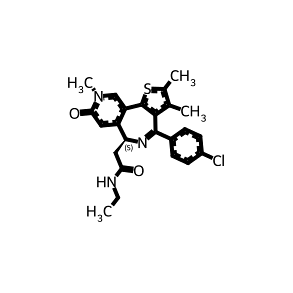 CCNC(=O)C[C@@H]1N=C(c2ccc(Cl)cc2)c2c(sc(C)c2C)-c2cn(C)c(=O)cc21